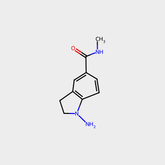 CNC(=O)c1ccc2c(c1)CCN2N